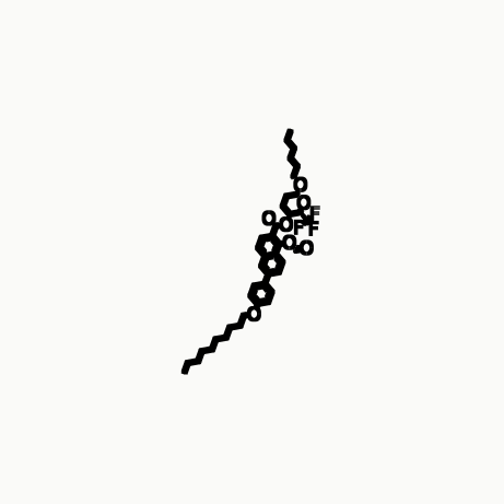 CCCCCCCCCCOc1ccc(-c2ccc3c(OC=O)c(C(=O)O[C@@H]4CC[C@@H](OCCCCCC)O[C@H]4C(F)(F)F)ccc3c2)cc1